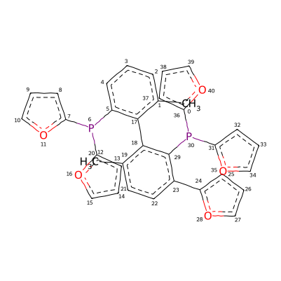 Cc1cccc(P(c2ccco2)c2ccco2)c1-c1c(C)ccc(-c2ccco2)c1P(c1ccco1)c1ccco1